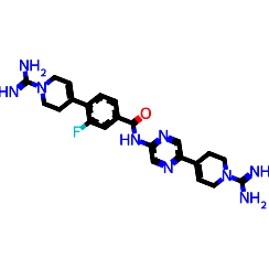 N=C(N)N1CC=C(c2cnc(NC(=O)c3ccc(C4=CCN(C(=N)N)CC4)c(F)c3)cn2)CC1